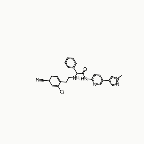 Cn1cc(-c2ccc(NC(=O)C(NCCC3=CCC(C#N)C=C3Cl)c3ccccc3)nc2)cn1